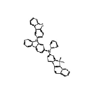 CC1(C)c2cc(N(c3ccccc3)c3ccc4c5ccccc5n(-c5ccc6sc7ccccc7c6c5)c4c3)ccc2-c2ccc3ccccc3c21